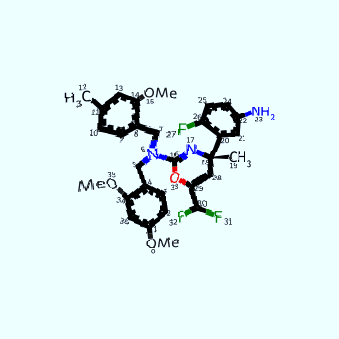 COc1ccc(CN(Cc2ccc(C)cc2OC)C2=N[C@](C)(c3cc(N)ccc3F)C=C(C(F)F)O2)c(OC)c1